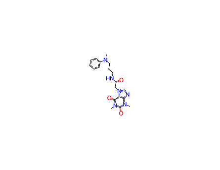 CN(CCCNC(=O)Cn1cnc2c1c(=O)n(C)c(=O)n2C)c1ccccc1